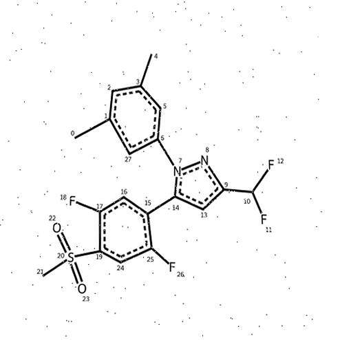 Cc1cc(C)cc(-n2nc(C(F)F)cc2-c2cc(F)c(S(C)(=O)=O)cc2F)c1